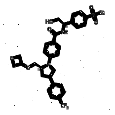 CCS(=O)(=O)c1ccc([C@H](CO)NC(=O)c2ccc(N3CC(c4ccc(C(F)(F)F)cc4)C[C@H]3COC3COC3)cc2)cc1